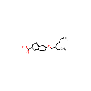 CCCCC(CC)COc1ccc2cc(C(=O)O)ccc2c1